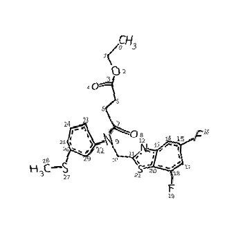 CCOC(=O)CCC(=O)N(Cc1nc2cc(F)cc(F)c2s1)c1cccc(SC)c1